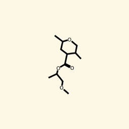 COCC(C)OC(=O)C1CC(C)OCC1C